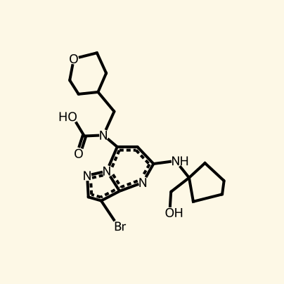 O=C(O)N(CC1CCOCC1)c1cc(NC2(CO)CCCC2)nc2c(Br)cnn12